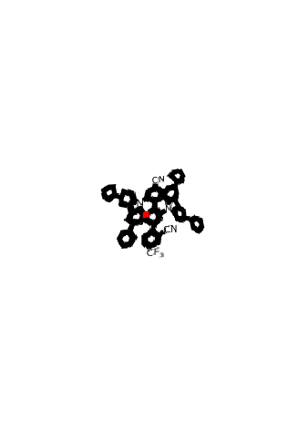 N#Cc1ccc(-c2ccc(-c3ccc(C(F)(F)F)cc3C#N)cc2-n2c3ccc(-c4ccccc4)cc3c3cc(-c4ccccc4)ccc32)c(-n2c3ccc(-c4ccccc4)cc3c3cc(-c4ccccc4)ccc32)c1